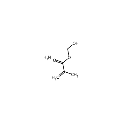 C=C(C)C(=O)OCO.N